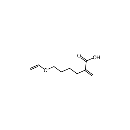 C=COCCCCC(=C)C(=O)O